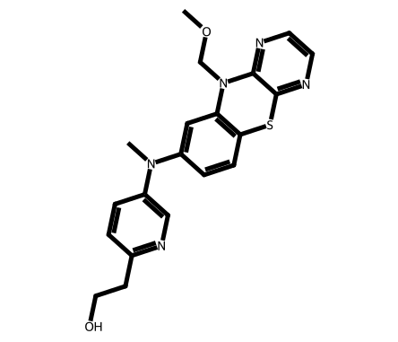 COCN1c2cc(N(C)c3ccc(CCO)nc3)ccc2Sc2nccnc21